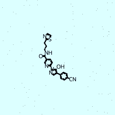 N#Cc1ccc(-c2cnn(-c3ccc(C(=O)NCCCc4nccs4)cn3)c2O)cc1